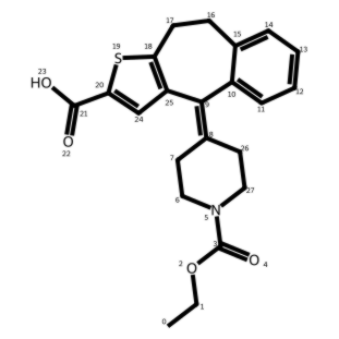 CCOC(=O)N1CCC(=C2c3ccccc3CCc3sc(C(=O)O)cc32)CC1